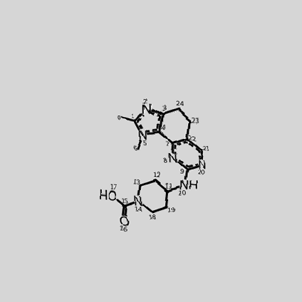 Cc1nc2c(n1C)-c1nc(NC3CCN(C(=O)O)CC3)ncc1CC2